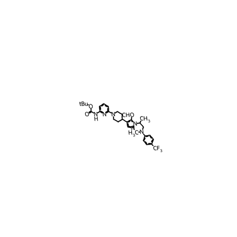 CC(CN(C)c1ccc(C(F)(F)F)cc1)n1ncc(C2CCN(c3cccc(NC(=O)OC(C)(C)C)n3)CC2)c1C=O